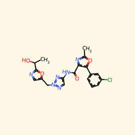 Cc1nc(C(=O)Nc2cnn(Cc3cnc(C(C)O)o3)n2)c(-c2cccc(Cl)c2)o1